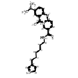 CC(C)c1ccc2nc3ccc(C(=O)NCCCCCCc4ccsc4)cn3c(=O)c2c1